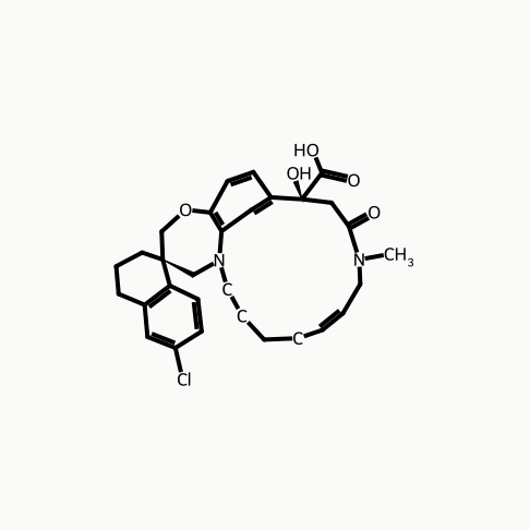 CN1CC=CCCCCN2C[C@@]3(CCCc4cc(Cl)ccc43)COc3ccc(cc32)[C@](O)(C(=O)O)CC1=O